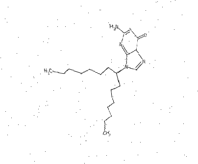 CCCCCCCC(CCCCCCC)N1C=NC2C(=O)N=C(N)N=C21